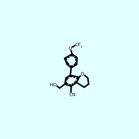 N#Cc1c(CO)cc(-c2ccc(OC(F)(F)F)cc2)c2c1CCCO2